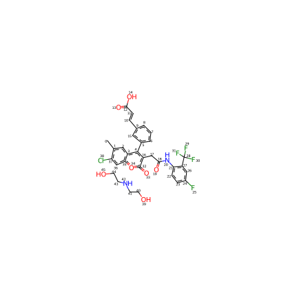 Cc1cc2c(-c3cccc(C=CC(=O)O)c3)c(CC(=O)Nc3ccc(F)cc3C(F)(F)F)c(=O)oc2cc1Cl.OCCNCCO